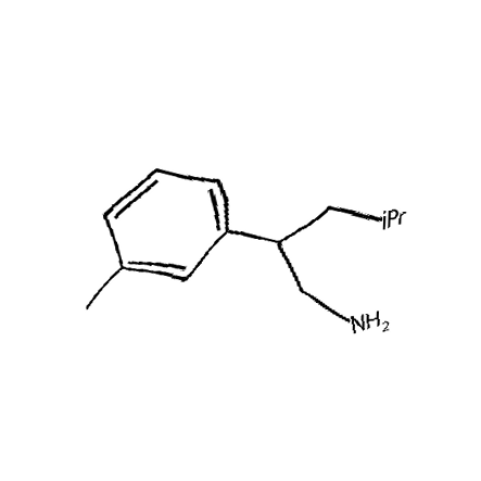 Cc1cccc(C(CN)CC(C)C)c1